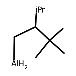 CC(C)C([CH2][AlH2])C(C)(C)C